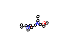 c1ccc(-c2ccc(N(c3ccc(-c4ccc(-c5ccccc5-n5c6ccccc6c6ccc(-c7cccc8ccccc78)cc65)cc4)cc3)c3ccc(-c4cccc5c4oc4ccccc45)cc3)cc2)cc1